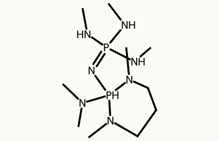 CNP(=N[PH]1(N(C)C)N(C)CCCN1C)(NC)NC